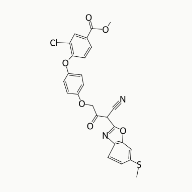 COC(=O)c1ccc(Oc2ccc(OCC(=O)C(C#N)c3nc4ccc(SC)cc4o3)cc2)c(Cl)c1